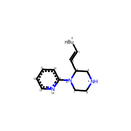 CCCCC=CC1CNCCN1c1ccccn1